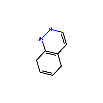 C1=CCC2=C(C=C[N]N2)C1